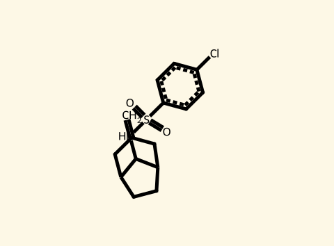 C=C1CC2CCC(C1)C2NS(=O)(=O)c1ccc(Cl)cc1